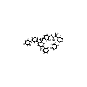 N=C(c1ccccc1)N(Cc1ccc(Nc2cc3c(cc2-c2cccc(-c4ccccc4)c2)sc2ccccc23)cc1)NCc1ccccc1